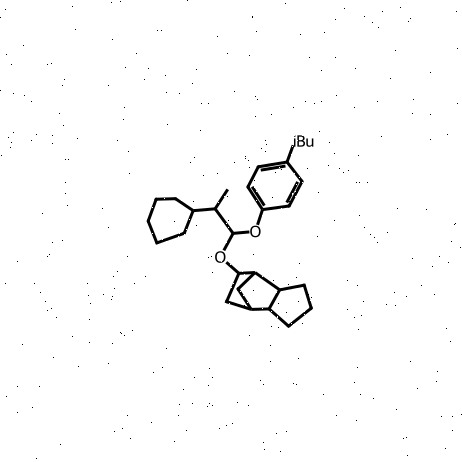 CCC(C)c1ccc(OC(OC2CC3CC2C2CCCC32)C(C)C2CCCCC2)cc1